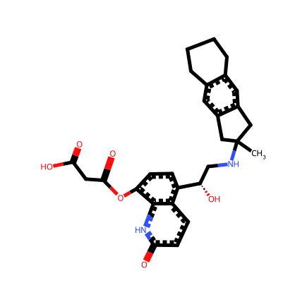 CC1(NC[C@H](O)c2ccc(OC(=O)CC(=O)O)c3[nH]c(=O)ccc23)Cc2cc3c(cc2C1)CCCC3